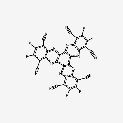 N#Cc1c(F)c(F)c(C#N)c2nc3c(nc12)c1nc2c(C#N)c(F)c(F)c(C#N)c2nc1c1nc2c(C#N)c(F)c(F)c(C#N)c2nc31